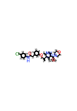 C=C(N)/C(C(=C)COc1cccc(CC(=O)Nc2ccc(Cl)cc2)c1)=C(SC)\C(=C/C)C(=O)N1CCOCC1